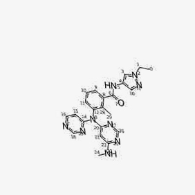 CCn1cc(NC(=O)c2cccc(N(c3ccncn3)c3cc(NC)ncn3)c2C)cn1